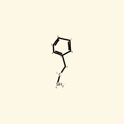 [SiH2]CCc1ccccc1